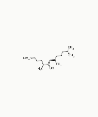 CC(C)=CCC/C(C)=C/C(O)C(C)CCCC(=O)O